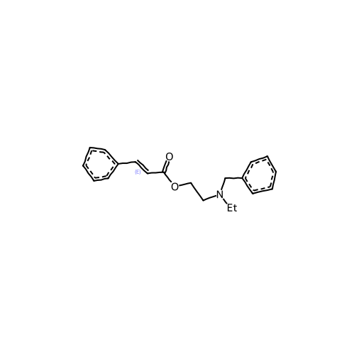 CCN(CCOC(=O)/C=C/c1ccccc1)Cc1ccccc1